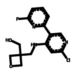 OCC1(CNc2cc(Cl)ncc2-c2cccc(F)n2)COC1